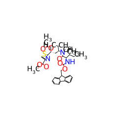 CC[C@@H](C)[C@H](NC(=O)OCC1c2ccccc2-c2ccccc21)C(=O)N(C)[C@@H](C[C@@H](OC(C)=O)c1nc(C(=O)OC)cs1)C(C)C